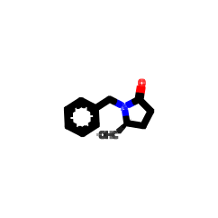 O=[C][C@@H]1CCC(=O)N1Cc1ccccc1